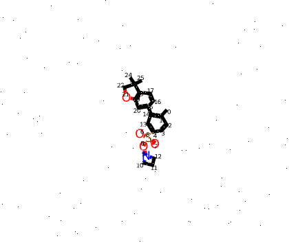 Cc1ccc(S(=O)(=O)ON2CCC2)cc1-c1ccc2c(c1)OCC2(C)C